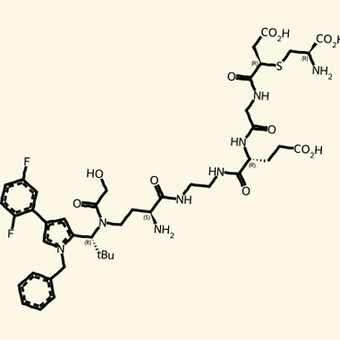 CC(C)(C)[C@H](c1cc(-c2cc(F)ccc2F)cn1Cc1ccccc1)N(CC[C@H](N)C(=O)NCCNC(=O)[C@@H](CCC(=O)O)NC(=O)CNC(=O)[C@@H](CC(=O)O)SC[C@H](N)C(=O)O)C(=O)CO